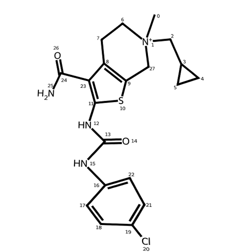 C[N+]1(CC2CC2)CCc2c(sc(NC(=O)Nc3ccc(Cl)cc3)c2C(N)=O)C1